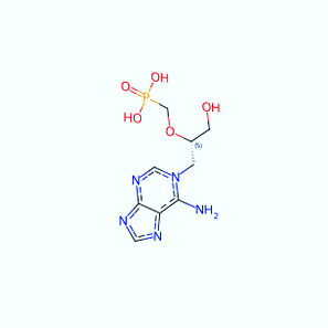 Nc1c2ncnc-2ncn1C[C@@H](CO)OCP(=O)(O)O